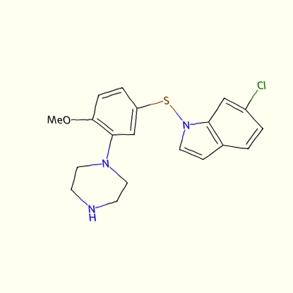 COc1ccc(Sn2ccc3ccc(Cl)cc32)cc1N1CCNCC1